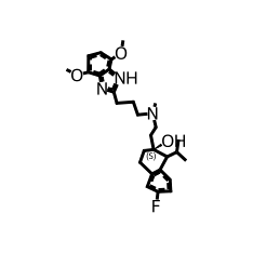 COc1ccc(OC)c2[nH]c(CCCN(C)CC[C@@]3(O)CCc4cc(F)ccc4C3C(C)C)nc12